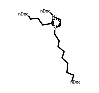 CCCCCCCCCCCCCCCCCCn1cc[n+](CCCCCCCCCC)c1CCCCCCCCCCCCC